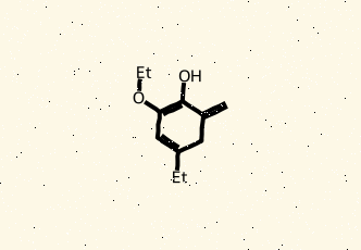 C=C1CC(CC)=CC(OCC)=C1O